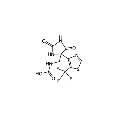 O=C(O)NCC1(c2ncsc2C(F)(F)F)NC(=O)NC1=O